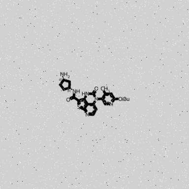 Cc1cc(OCC(C)C)ncc1N1C(=O)Nc2c(C(=O)N[C@@H]3CC[C@H](N)C3)sc3nccc1c23